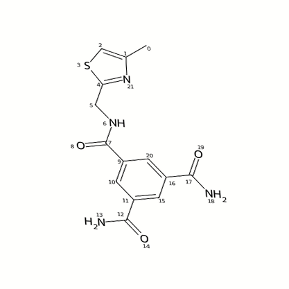 Cc1csc(CNC(=O)c2cc(C(N)=O)cc(C(N)=O)c2)n1